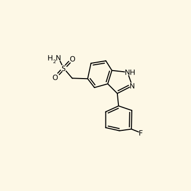 NS(=O)(=O)Cc1ccc2[nH]nc(-c3cccc(F)c3)c2c1